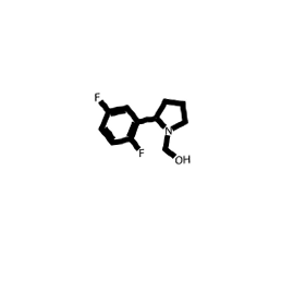 OCN1CCCC1c1cc(F)ccc1F